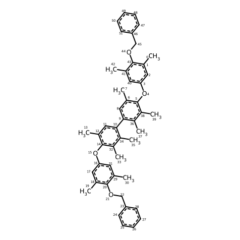 Cc1cc(Oc2c(C)cc(-c3cc(C)c(Oc4cc(C)c(OCc5ccccc5)c(C)c4)c(C)c3C)c(C)c2C)cc(C)c1OCc1ccccc1